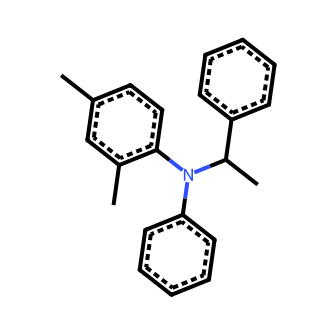 Cc1ccc(N(c2ccccc2)C(C)c2ccccc2)c(C)c1